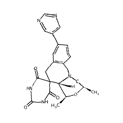 C[C@@H]1CN2c3ccc(-c4cncnc4)cc3CC3(C(=O)NC(=O)NC3=O)[C@H]2[C@H](C)O1